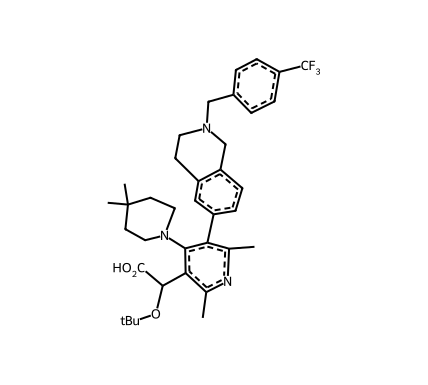 Cc1nc(C)c(C(OC(C)(C)C)C(=O)O)c(N2CCC(C)(C)CC2)c1-c1ccc2c(c1)CCN(Cc1ccc(C(F)(F)F)cc1)C2